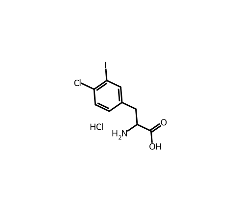 Cl.NC(Cc1ccc(Cl)c(I)c1)C(=O)O